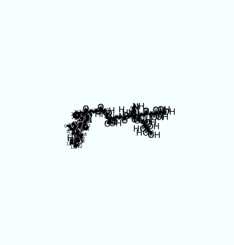 CC[C@H](C)[C@@H]([C@@H](CC(=O)N1CCC[C@H]1[C@H](OC)[C@@H](C)C(=O)N[C@@H](Cc1ccccc1)C(=O)NCCCOC(=O)C(C)NC(=O)CC(NC(=O)CCNC(=O)OCC(NC(=O)CN)C(=O)NC(CCC(=O)NC[C@H](O)[C@@H](O)[C@@H](O)[C@H](O)CO)C(=O)NC[C@H](O)[C@@H](O)[C@@H](O)[C@H](O)CO)C(=O)O)OC)N(C)C(=O)[C@@H](NC(=O)[C@H](C(C)C)N(C)C)C(C)C